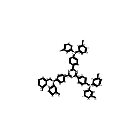 CC1=CCCC(N(c2ccc(-c3nc(-c4ccc(N(Cc5cccc(C)c5)c5cccc(C)c5)cc4)nc(-c4ccc(N(C5=CCCC(C)=C5)c5cccc(C)c5)cc4)n3)cc2)c2cccc(C)c2)=C1